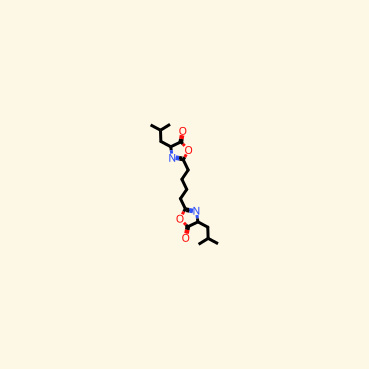 CC(C)CC1N=C(CCCCC2=NC(CC(C)C)C(=O)O2)OC1=O